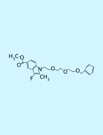 COC(=O)c1ccc2c(c1)c(F)c(C)n2CCOCCOCCOCc1ccccc1